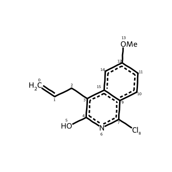 C=CCc1c(O)nc(Cl)c2ccc(OC)cc12